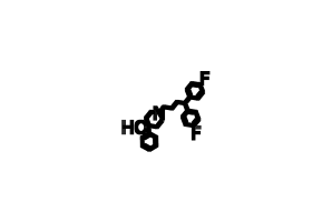 OC1(c2ccccc2)CCN(CCCC(c2ccc(F)cc2)c2ccc(F)cc2)CC1